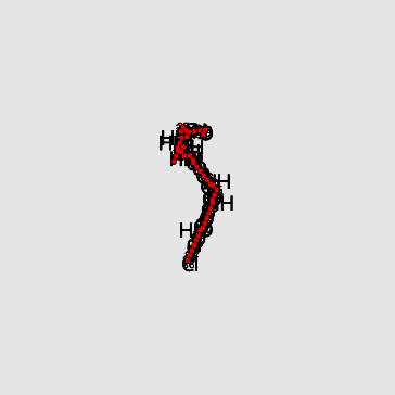 CCCCC(=N)/C=C(/NC(=O)Nc1ccc(OCCN2CCOCC2)c2ccccc12)Nc1cccc(CNC(=O)OCCOCCOCCNC(=O)OC/C=C\COC(=O)NCCOCCOCCOC(=O)NCCOCCOCCCCCCCl)c1